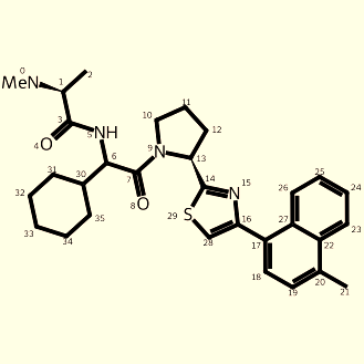 CN[C@@H](C)C(=O)NC(C(=O)N1CCC[C@H]1c1nc(-c2ccc(C)c3ccccc23)cs1)C1CCCCC1